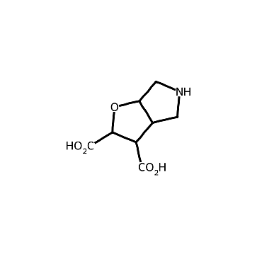 O=C(O)C1OC2CNCC2C1C(=O)O